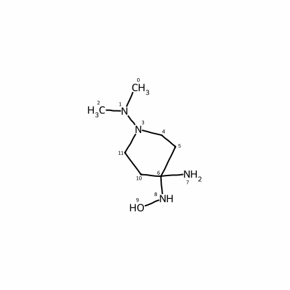 CN(C)N1CCC(N)(NO)CC1